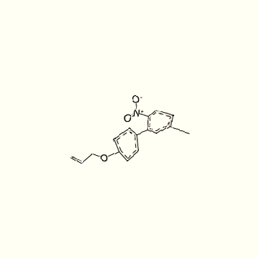 C=CCOc1ccc(-c2cc(C)ccc2[N+](=O)[O-])cc1